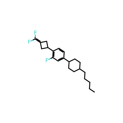 CCCCCC1CCC(c2ccc(C3CC(=C(F)F)C3)c(F)c2)CC1